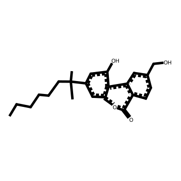 CCCCCCC(C)(C)c1cc(O)c2c(c1)oc(=O)c1ccc(CO)cc12